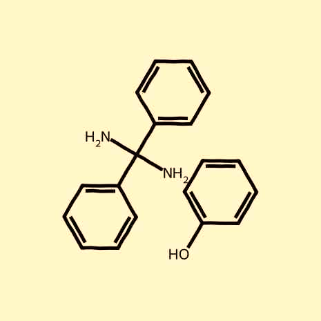 NC(N)(c1ccccc1)c1ccccc1.Oc1ccccc1